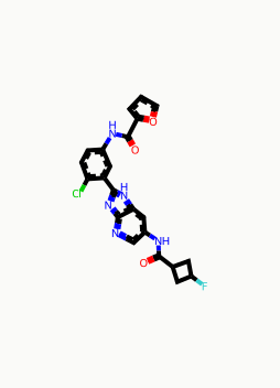 O=C(Nc1ccc(Cl)c(-c2nc3ncc(NC(=O)C4CC(F)C4)cc3[nH]2)c1)c1ccco1